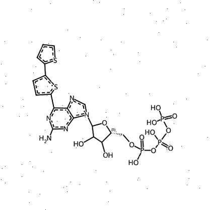 Nc1nc(-c2ccc(-c3cccs3)s2)c2ncn(C3O[C@H](COP(=O)(O)OP(=O)(O)OP(=O)(O)O)C(O)C3O)c2n1